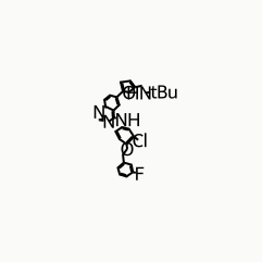 CC(C)(C)NCc1ccc(-c2ccc3ncnc(Nc4ccc(OCc5cccc(F)c5)c(Cl)c4)c3c2)o1